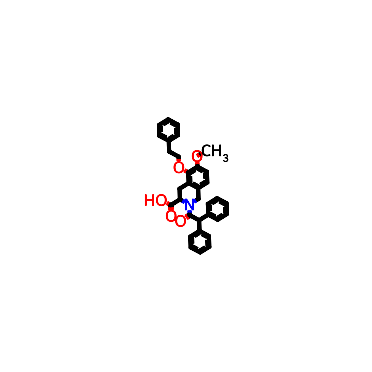 COc1ccc2c(c1OCCc1ccccc1)CC(C(=O)O)N(C(=O)C(c1ccccc1)c1ccccc1)C2